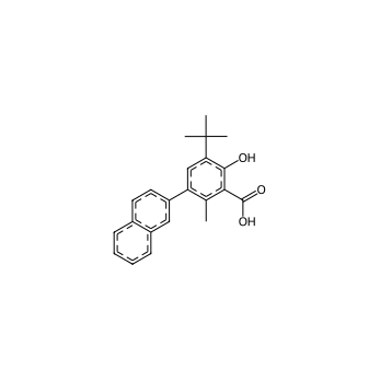 Cc1c(-c2ccc3ccccc3c2)cc(C(C)(C)C)c(O)c1C(=O)O